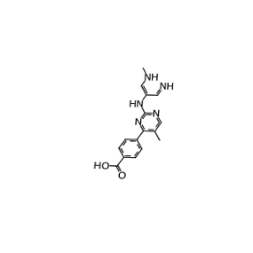 CN/C=C(\C=N)Nc1ncc(C)c(-c2ccc(C(=O)O)cc2)n1